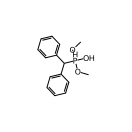 CO[PH](O)(OC)C(c1ccccc1)c1ccccc1